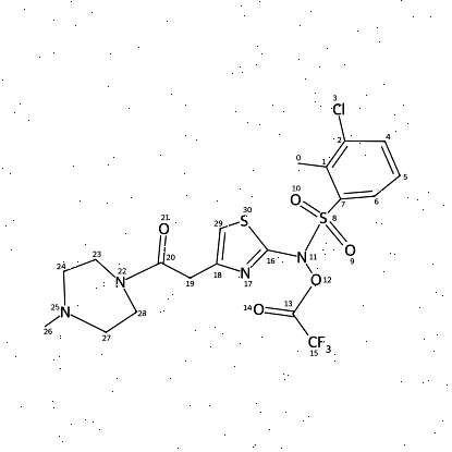 Cc1c(Cl)cccc1S(=O)(=O)N(OC(=O)C(F)(F)F)c1nc(CC(=O)N2CCN(C)CC2)cs1